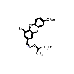 CCOC(=O)C(C)O/N=C\c1cc(Br)c(Oc2ccc(OC)cc2)c(Br)c1